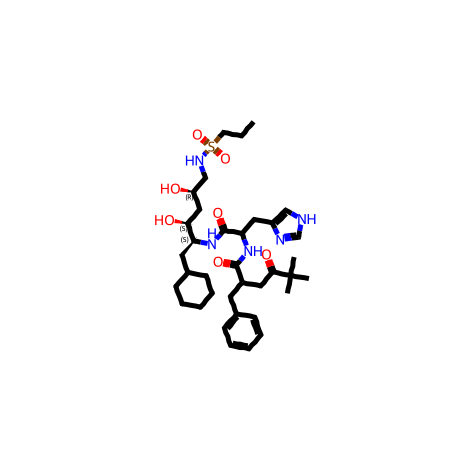 CCCS(=O)(=O)NC[C@H](O)C[C@H](O)[C@H](CC1CCCCC1)NC(=O)C(Cc1c[nH]cn1)NC(=O)C(CC(=O)C(C)(C)C)Cc1ccccc1